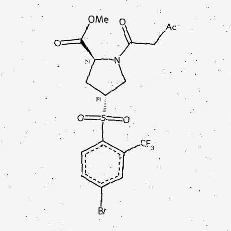 COC(=O)[C@@H]1C[C@@H](S(=O)(=O)c2ccc(Br)cc2C(F)(F)F)CN1C(=O)CC(C)=O